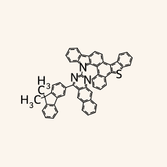 CC1(C)c2ccccc2-c2cc(-c3nc(-n4c5ccccc5c5ccc6c7c8ccccc8sc7c7ccccc7c6c54)nc4cc5ccccc5cc34)ccc21